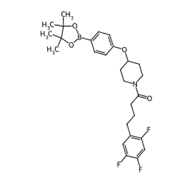 CC1(C)OB(c2ccc(OC3CCN(C(=O)CCCc4cc(F)c(F)cc4F)CC3)cc2)OC1(C)C